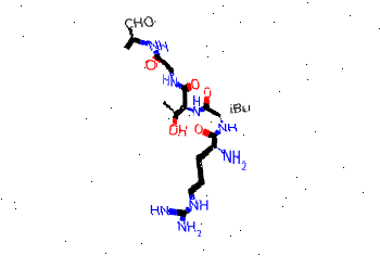 CC[C@H](C)[C@H](NC(=O)[C@H](N)CCCNC(=N)N)C(=O)N[C@H](C(=O)NCC(=O)N[C@@H](C)[C]=O)[C@H](C)O